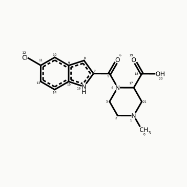 CN1CCN(C(=O)c2cc3cc(Cl)ccc3[nH]2)C(C(=O)O)C1